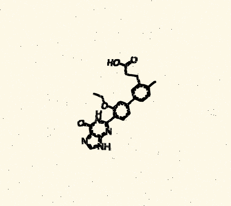 CCOc1cc(-c2ccc(C)c(CCC(=O)O)c2)ccc1-c1nc2[nH]cnc2c(=O)[nH]1